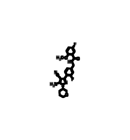 COc1ccc(F)cc1C(=O)NCc1ccc(-c2nn(C3CCCOC3)c(N)c2C#N)c(F)c1